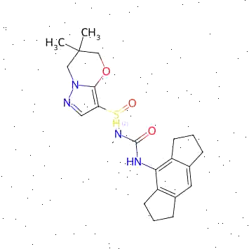 CC1(C)COc2c(/[SH](=O)=N/C(=O)Nc3c4c(cc5c3CCC5)CCC4)cnn2C1